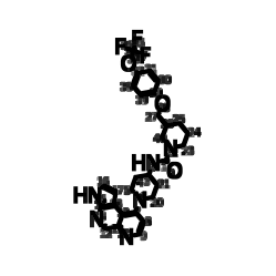 O=C(NC1CCN(c2ccnc3cnc4[nH]ccc4c23)CC1)N1CCCC(COc2ccc(OC(F)(F)F)cc2)C1